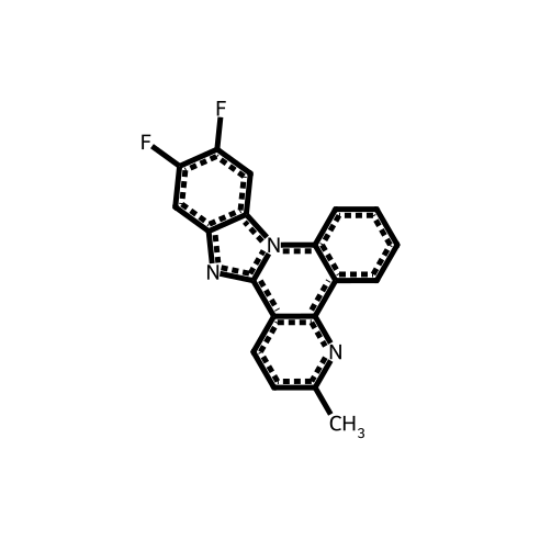 Cc1ccc2c(n1)c1ccccc1n1c3cc(F)c(F)cc3nc21